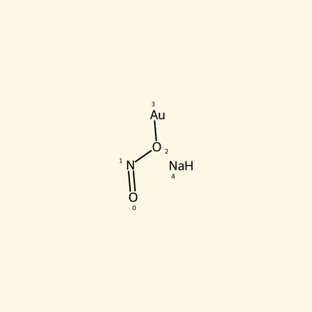 O=N[O][Au].[NaH]